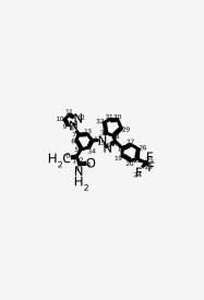 C=C(C(N)=O)c1cc(-n2cccn2)cc(-n2nc(-c3ccc(C(F)(F)F)cc3)c3ccccc32)c1